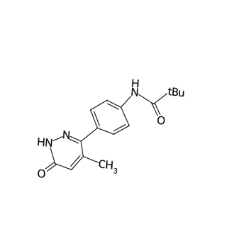 Cc1cc(=O)[nH]nc1-c1ccc(NC(=O)C(C)(C)C)cc1